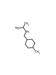 CC(O)NCC1CCN(C)CC1